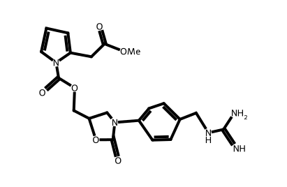 COC(=O)Cc1cccn1C(=O)OCC1CN(c2ccc(CNC(=N)N)cc2)C(=O)O1